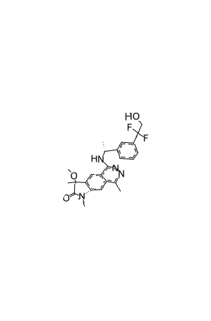 COC1(C)C(=O)N(C)c2cc3c(C)nnc(N[C@H](C)c4cccc(C(F)(F)CO)c4)c3cc21